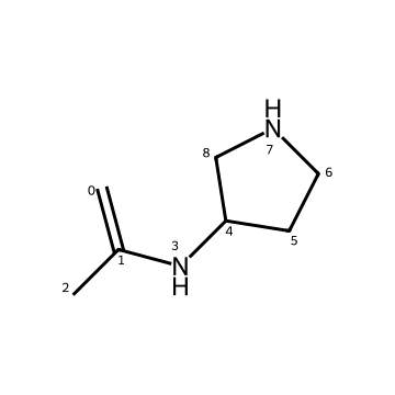 C=C(C)NC1CCNC1